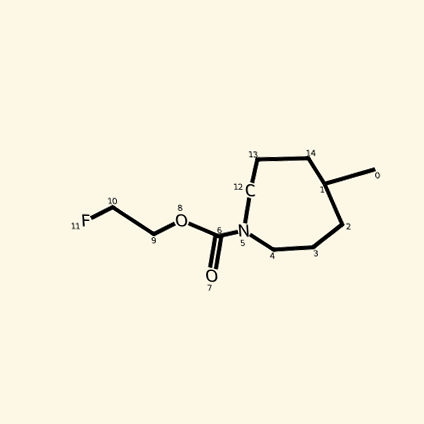 CC1CCCN(C(=O)OCCF)CCC1